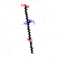 CCCCCCCCCCOC(=O)CCCCCCCCCCCNC(CN)CCCCCCCCCCCC(=O)O